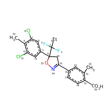 CCC(F)(F)C1(c2cc(Cl)c(C)c(Cl)c2)CC(c2ccc(C(=O)O)c(C)c2)=NO1